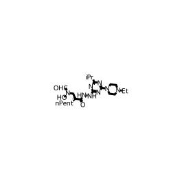 CCCCC[C@@H](CN(O)C=O)C(=O)NNc1nc(C(C)C)nc(N2CCN(CC)CC2)n1